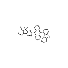 C=CC1=C(/C=C\C)c2ccc(-c3c4ccccc4c(-c4cccc5oc6ccccc6c45)c4ccccc34)cc2C1(C)C